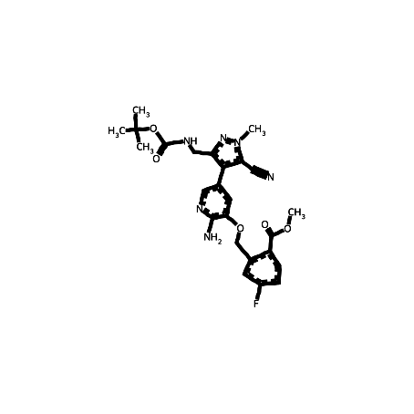 COC(=O)c1ccc(F)cc1COc1cc(-c2c(CNC(=O)OC(C)(C)C)nn(C)c2C#N)cnc1N